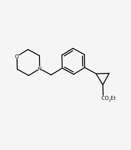 CCOC(=O)C1CC1c1cccc(CN2CCOCC2)c1